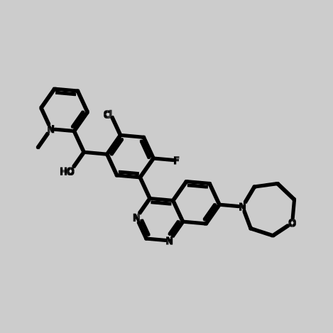 CN1CC=CC=C1C(O)c1cc(-c2ncnc3cc(N4CCCOCC4)ccc23)c(F)cc1Cl